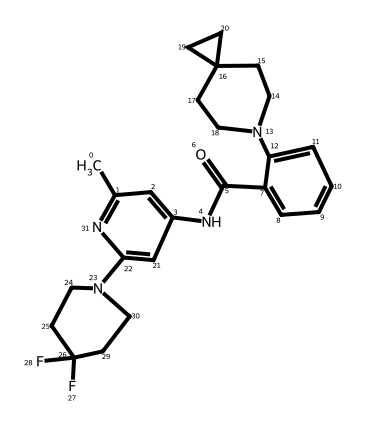 Cc1cc(NC(=O)c2ccccc2N2CCC3(CC2)CC3)cc(N2CCC(F)(F)CC2)n1